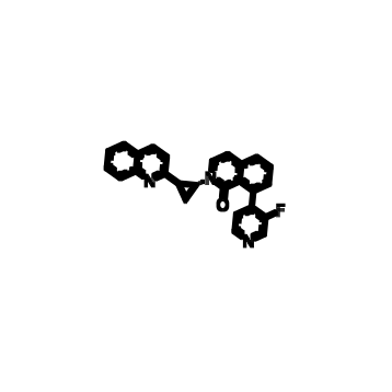 O=c1c2c(-c3ccncc3F)cccc2ccn1[C@@H]1CC1c1ccc2ccccc2n1